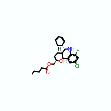 CCCCC(=O)OC[C@H]1CC[C@@H]2[C@H](O1)c1cc(Cl)cc(F)c1N[C@H]2C1C=CC=CC1